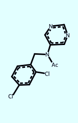 CC(=O)N(Cc1ccc(Cl)cc1Cl)c1cncnc1